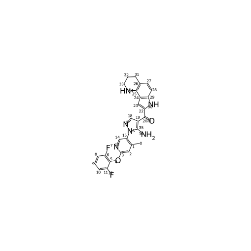 Cc1cc(Oc2c(F)cccc2F)ncc1-n1ncc(C(=O)c2cc3c4c(ccc3[nH]2)CCCN4)c1N